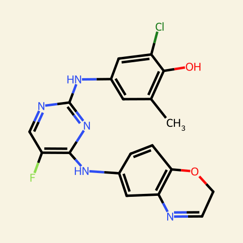 Cc1cc(Nc2ncc(F)c(Nc3ccc4c(c3)N=CCO4)n2)cc(Cl)c1O